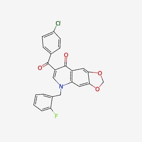 O=C(c1ccc(Cl)cc1)c1cn(Cc2ccccc2F)c2cc3c(cc2c1=O)OCO3